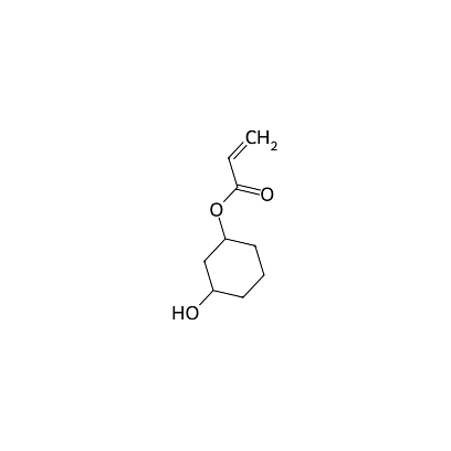 C=CC(=O)OC1CCCC(O)C1